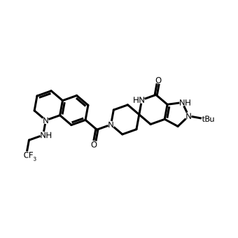 CC(C)(C)N1CC2=C(N1)C(=O)NC1(CCN(C(=O)c3ccc4c(c3)N(NCC(F)(F)F)CC=C4)CC1)C2